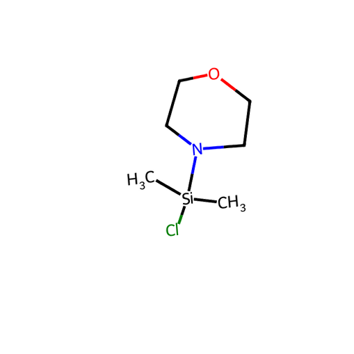 C[Si](C)(Cl)N1CCOCC1